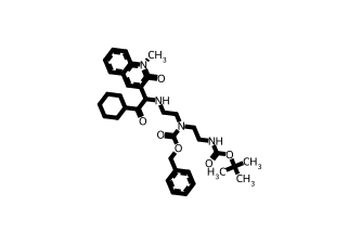 Cn1c(=O)c(C(NCCN(CCNC(=O)OC(C)(C)C)C(=O)OCc2ccccc2)C(=O)C2CCCCC2)cc2ccccc21